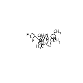 COc1cccc(OC)c1-n1c(NS(=O)(=O)C[C@@H](O)c2ccc(F)cc2F)nnc1-c1cncc(C)c1